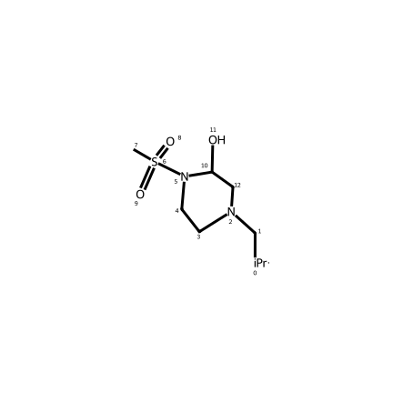 C[C](C)CN1CCN(S(C)(=O)=O)C(O)C1